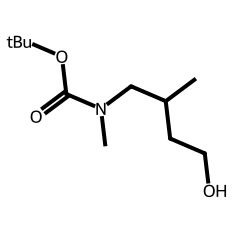 CC(CCO)CN(C)C(=O)OC(C)(C)C